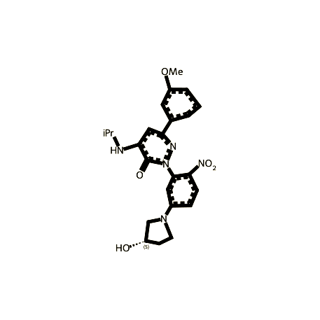 COc1cccc(-c2cc(NC(C)C)c(=O)n(-c3cc(N4CC[C@H](O)C4)ccc3[N+](=O)[O-])n2)c1